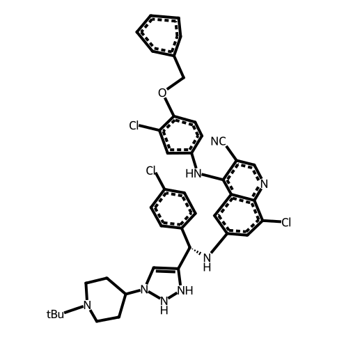 CC(C)(C)N1CCC(N2C=C([C@@H](Nc3cc(Cl)c4ncc(C#N)c(Nc5ccc(OCc6ccccc6)c(Cl)c5)c4c3)c3ccc(Cl)cc3)NN2)CC1